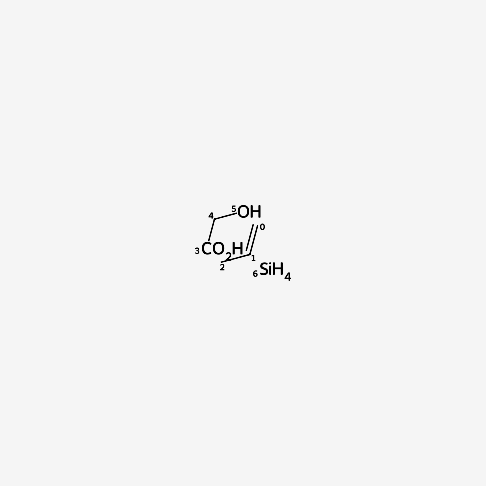 C=CC.O=C(O)CO.[SiH4]